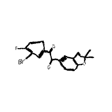 CC1(C)Cc2cc(C(=O)C(=O)c3ccc(F)c(Br)c3)ccc2O1